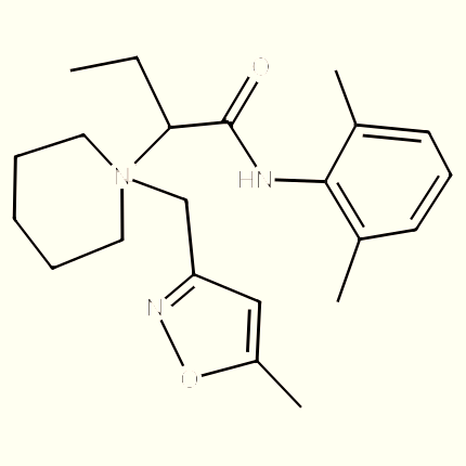 CCC(C(=O)Nc1c(C)cccc1C)[N+]1(Cc2cc(C)on2)CCCCC1